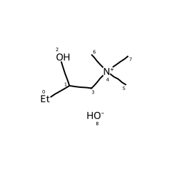 CCC(O)C[N+](C)(C)C.[OH-]